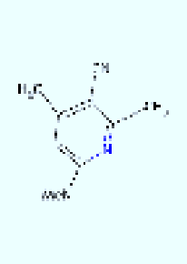 CNc1cc(C)c(C#N)c(C)n1